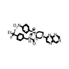 CCC(F)(F)c1ccc(CNC(=O)[C@H]2CN(c3cnc4cncnc4n3)CCN2S(=O)(=O)c2ccc([N+](=O)[O-])cc2)cc1